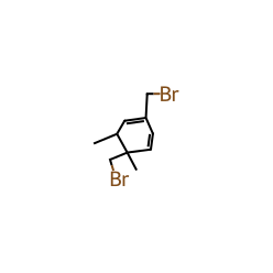 CC1C=C(CBr)C=CC1(C)CBr